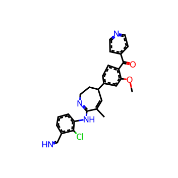 COc1cc(C2C=C(C)C(Nc3cccc(C=N)c3Cl)=NCC2)ccc1C(=O)c1ccncc1